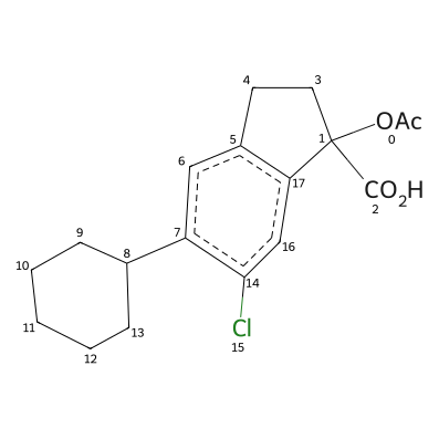 CC(=O)OC1(C(=O)O)CCc2cc(C3CCCCC3)c(Cl)cc21